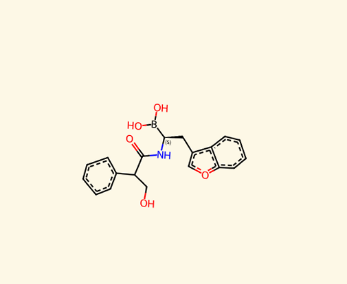 O=C(N[C@H](Cc1coc2ccccc12)B(O)O)C(CO)c1ccccc1